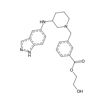 O=C(OCCO)c1cccc(CN2CCCC(Nc3ccc4[nH]ncc4c3)C2)c1